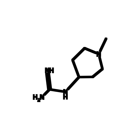 CN1CCC(NC(=N)N)CC1